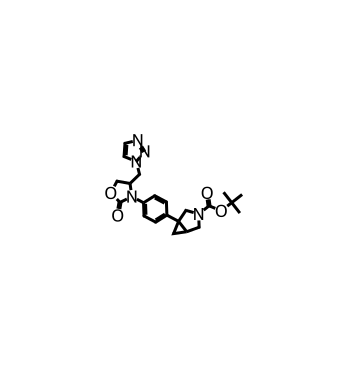 CC(C)(C)OC(=O)N1CC2CC2(c2ccc(N3C(=O)OCC3Cn3ccnn3)cc2)C1